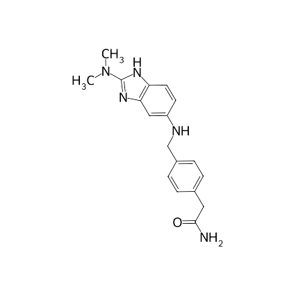 CN(C)c1nc2cc(NCc3ccc(CC(N)=O)cc3)ccc2[nH]1